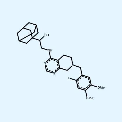 COc1cc(F)c(CN2CCc3c(ncnc3NCC(O)C34CC5CC(CC(C5)C3)C4)C2)cc1OC